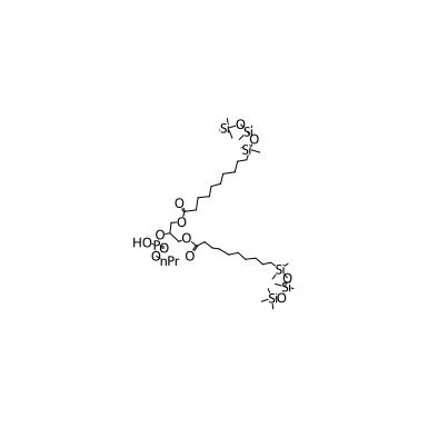 CCCOP(=O)(O)OC(COC(=O)CCCCCCCCC[Si](C)(C)O[Si](C)(C)O[Si](C)(C)C)COC(=O)CCCCCCCCC[Si](C)(C)O[Si](C)(C)O[Si](C)(C)C